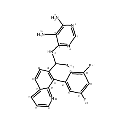 CC(Nc1ncnc(N)c1N)c1ccc2cccnc2c1-c1cc(F)cc(F)c1